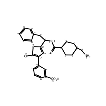 NCC1CCC(C(=O)NC(Cc2ccccc2)c2cc(-c3cccc(C(=O)O)c3)c(Cl)s2)CC1